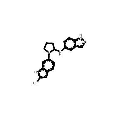 Cc1cc2ccc(N3CCCC3Nc3ccc4[nH]ncc4c3)cc2[nH]1